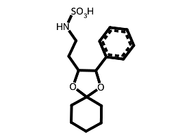 O=S(=O)(O)NCCC1OC2(CCCCC2)OC1c1ccccc1